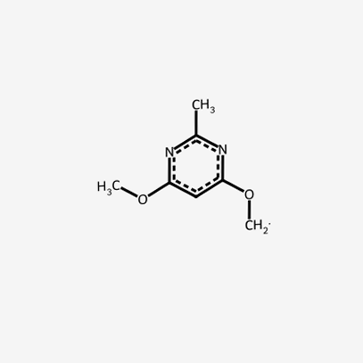 [CH2]Oc1cc(OC)nc(C)n1